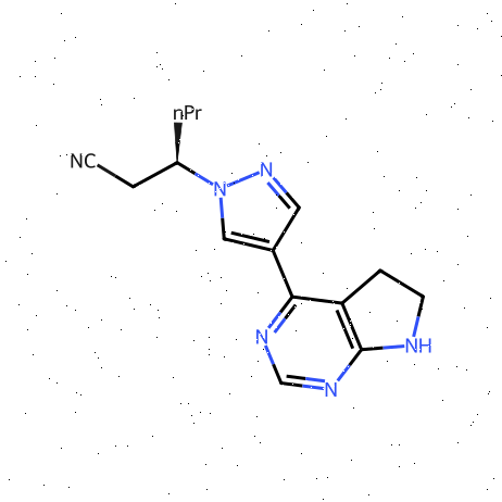 CCC[C@H](CC#N)n1cc(-c2ncnc3c2CCN3)cn1